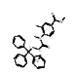 COC(=O)c1ccc(N(C)C(=O)[C@H](CO)NC(c2ccccc2)(c2ccccc2)c2ccccc2)c(F)c1